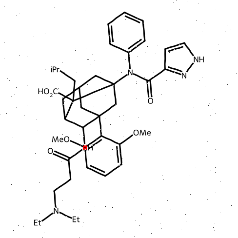 CCN(CC)CCC(=O)NC1C2CC3CC1(c1c(OC)cccc1OC)CC(N(C(=O)c1cc[nH]n1)c1ccccc1)(C3)C2(CC(C)C)C(=O)O